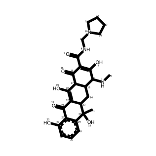 CNC1C(O)=C(C(=O)NCN2CCCC2)C(=O)C2C(O)=C3C(=O)c4c(O)cccc4C(C)(O)C3CC12